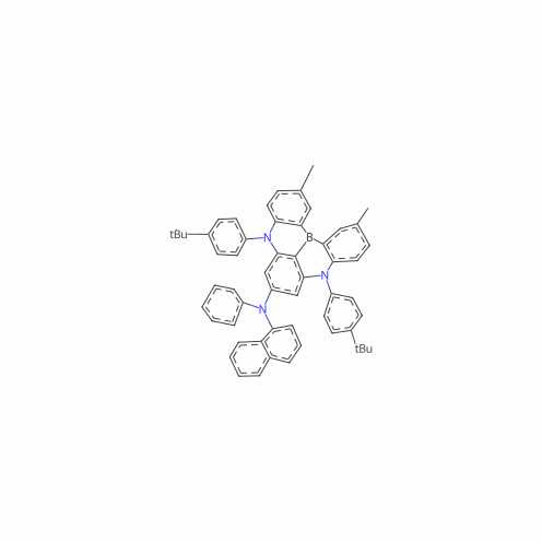 Cc1ccc2c(c1)B1c3cc(C)ccc3N(c3ccc(C(C)(C)C)cc3)c3cc(N(c4ccccc4)c4cccc5ccccc45)cc(c31)N2c1ccc(C(C)(C)C)cc1